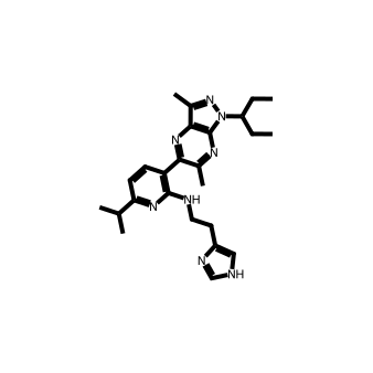 CCC(CC)n1nc(C)c2nc(-c3ccc(C(C)C)nc3NCCc3c[nH]cn3)c(C)nc21